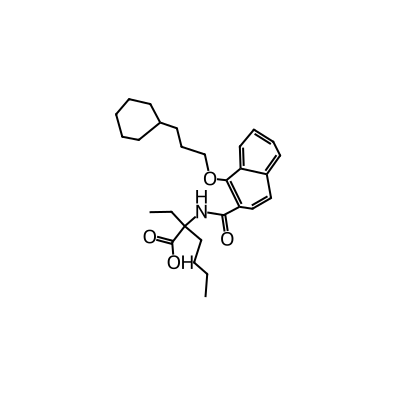 CCCCC(CC)(NC(=O)c1ccc2ccccc2c1OCCCC1CCCCC1)C(=O)O